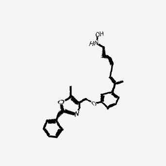 CC(=CC=CCNO)c1cccc(OCc2nc(-c3ccccc3)oc2C)c1